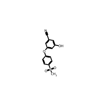 CS(=O)(=O)c1ccc(Oc2cc(O)cc(C#N)c2)cc1